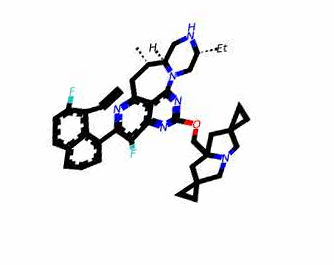 C#Cc1c(F)ccc2cccc(-c3nc4c5c(nc(OCC67CC8(CC8)CN6CC6(CC6)C7)nc5c3F)N3C[C@@H](CC)NC[C@@H]3[C@@H](C)C4)c12